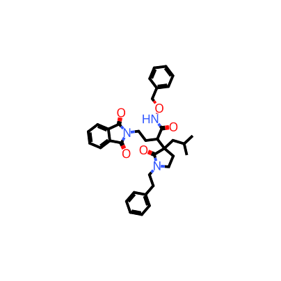 CC(C)CC1(C(CCN2C(=O)c3ccccc3C2=O)C(=O)NOCc2ccccc2)CCN(CCc2ccccc2)C1=O